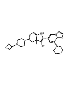 CC(C)C1=C(c2cc(N3CCOCC3)c3ncnn3c2)NC2=CC=C(C3CCN(C4COC4)CC3)CC21C